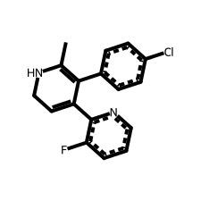 CC1=C(c2ccc(Cl)cc2)C(c2ncccc2F)=CCN1